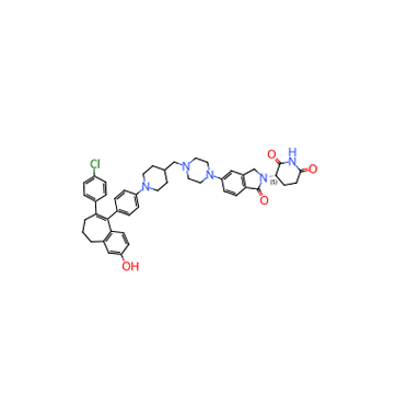 O=C1CC[C@H](N2Cc3cc(N4CCN(CC5CCN(c6ccc(C7=C(c8ccc(Cl)cc8)CCCc8cc(O)ccc87)cc6)CC5)CC4)ccc3C2=O)C(=O)N1